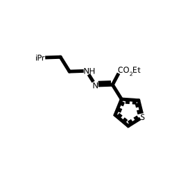 CCOC(=O)C(=NNCCC(C)C)c1ccsc1